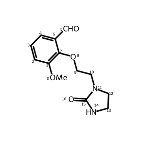 COc1cccc(C=O)c1OCCN1CCNC1=O